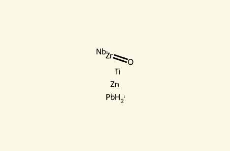 [Nb].[O]=[Zr].[PbH2].[Ti].[Zn]